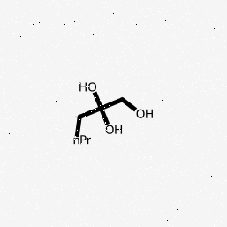 CCC[CH]C(O)(O)CO